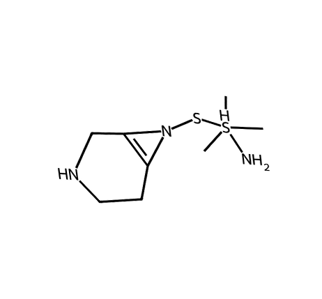 C[SH](C)(C)(N)SN1C2=C1CNCC2